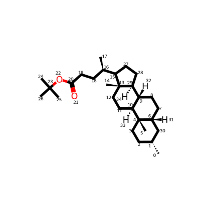 C[C@@H]1CC[C@@]2(C)[C@H](CC[C@@H]3[C@@H]2CC[C@]2(C)C([C@H](C)CCC(=O)OC(C)(C)C)CC[C@@H]32)C1